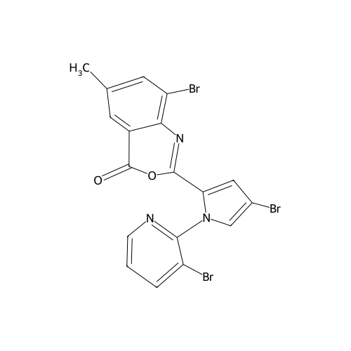 Cc1cc(Br)c2nc(-c3cc(Br)cn3-c3ncccc3Br)oc(=O)c2c1